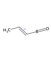 C/C=C/B=O